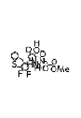 COC(=O)C1CN2C(=O)c3c(O)c(=O)cc(-c4cc(F)c(F)c5c4Cc4ccccc4SC5)n3N[C@@H]2CO1